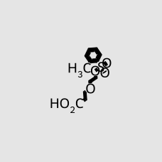 Cc1ccccc1S(=O)(=O)OCCOCCC(=O)O